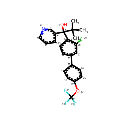 CC(C)(C)C(O)(c1cccnc1)c1ccc(-c2ccc(OC(F)(F)F)cc2)cc1Cl